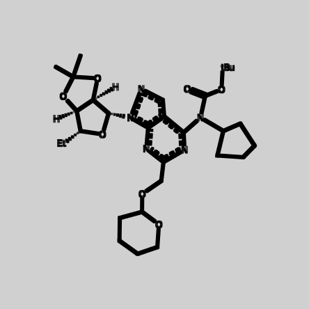 CC[C@H]1O[C@@H](n2ncc3c(N(C(=O)OC(C)(C)C)C4CCCC4)nc(COC4CCCCO4)nc32)[C@@H]2OC(C)(C)O[C@@H]21